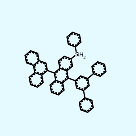 c1ccc([SiH2]c2ccc3c(-c4cc5ccccc5c5ccccc45)c4ccccc4c(-c4cc(-c5ccccc5)cc(-c5ccccc5)c4)c3c2)cc1